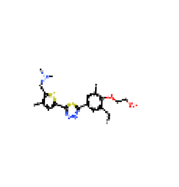 CCc1cc(-c2nnc(-c3cc(C)c(CN(C)C)s3)s2)cc(C)c1OCCO